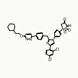 O=C1CN(c2ccc(-n3cc(-c4ccc(Cl)cc4Cl)nc3Cc3ccc(-c4ccc(OCCC5CCCCC5)nn4)cc3)cc2)S(=O)(=O)N1